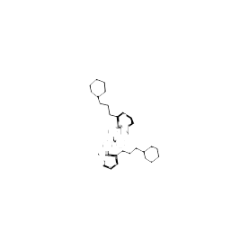 O=C(Oc1ncccc1CCCC1CCCCC1)Oc1ncccc1CCCC1CCCCC1